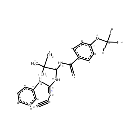 CC(C)(C)C(NC(=O)c1ccc(OC(F)(F)F)cc1)N/C(=N/C#N)Nc1cccnc1